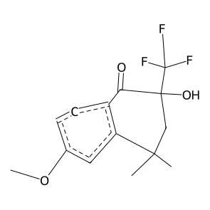 COc1ccc2c(c1)C(C)(C)CC(O)(C(F)(F)F)C2=O